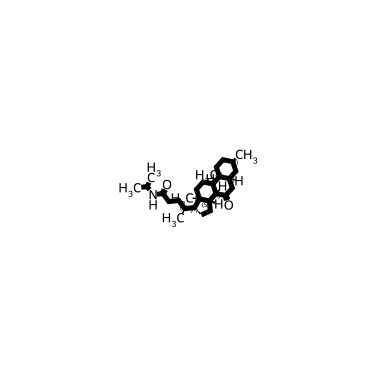 CC(C)NC(=O)CC[C@@H](C)[C@H]1CC[C@H]2[C@@H]3C(=O)C[C@@H]4C[C@H](C)CC[C@]4(C)[C@H]3CC[C@]12C